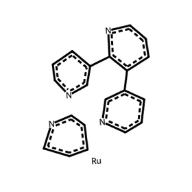 [Ru].c1ccncc1.c1cncc(-c2cccnc2-c2cccnc2)c1